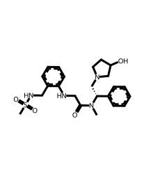 CN(C(=O)CNc1ccccc1CNS(C)(=O)=O)[C@H](CN1CCC(O)C1)c1ccccc1